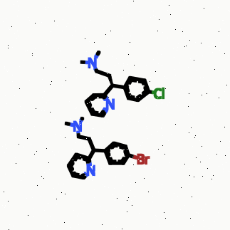 CN(C)CCC(c1ccc(Br)cc1)c1ccccn1.CN(C)CC[C@@H](c1ccc(Cl)cc1)c1ccccn1